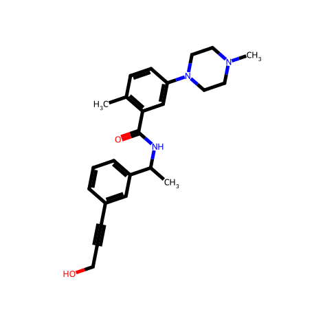 Cc1ccc(N2CCN(C)CC2)cc1C(=O)NC(C)c1cccc(C#CCO)c1